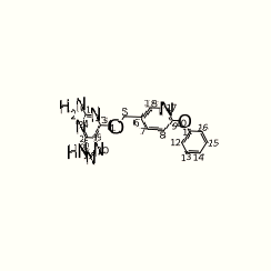 Nc1nc(OCc2ccc(Oc3ccccc3)nc2)c2nn[nH]c2n1